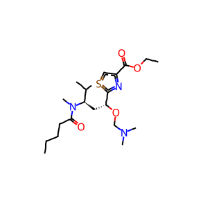 CCCCC(=O)N(C)[C@H](C[C@@H](OCN(C)C)c1nc(C(=O)OCC)cs1)C(C)C